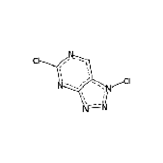 Clc1ncc2c(nnn2Cl)n1